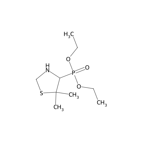 CCOP(=O)(OCC)C1NCSC1(C)C